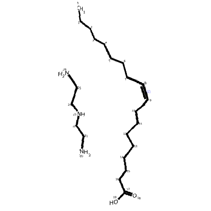 CCCCCCCC/C=C\CCCCCCCC(=O)O.NCCNCCN